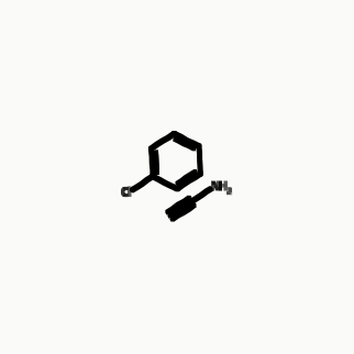 C#CN.Clc1ccccc1